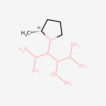 BBB(B(B)B)B(B(B)B)B1CCC[C@H]1C